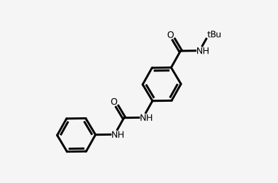 CC(C)(C)NC(=O)c1ccc(NC(=O)Nc2ccccc2)cc1